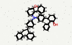 OC1=C(c2ccccc2)C(c2ccc(N(c3ccc(C4Cc5ccccc5-c5ccccc54)cc3)c3cccc4oc5ccccc5c34)cc2)CC=C1